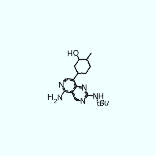 CC1CCC(c2cnc(N)c3cnc(NC(C)(C)C)nc23)CC1O